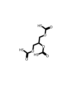 O=C(S)OCC(COC(=O)S)OC(=O)S